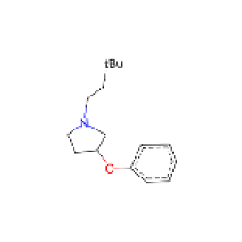 CC(C)(C)CCN1CCC(Oc2ccccc2)C1